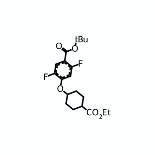 CCOC(=O)C1CCC(Oc2cc(F)c(C(=O)OC(C)(C)C)cc2F)CC1